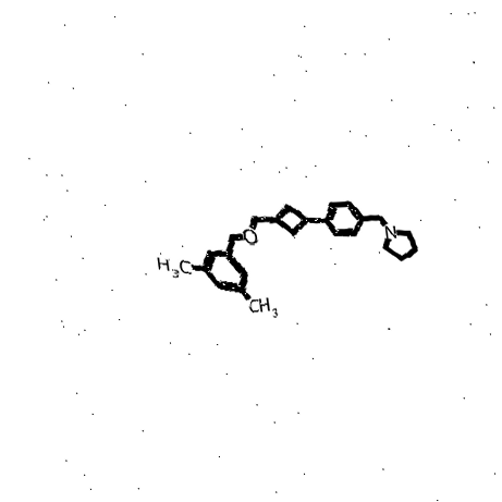 Cc1cc(C)cc(COCC2CC(c3ccc(CN4CCCC4)cc3)C2)c1